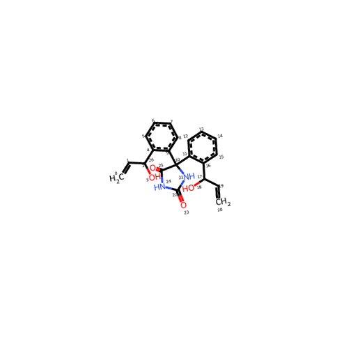 C=CC(O)c1ccccc1C1(c2ccccc2C(O)C=C)NC(=O)NC1=O